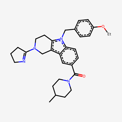 CCOc1ccc(Cn2c3c(c4cc(C(=O)N5CCC(C)CC5)ccc42)CN(C2=NCCC2)CC3)cc1